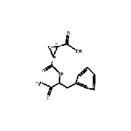 NC(=O)C(Cc1ccccc1)NC(=O)[C@@H]1O[C@H]1C(=O)O